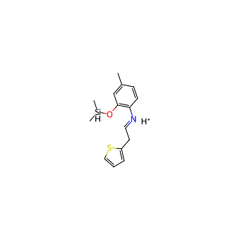 Cc1ccc(N=CCc2cccs2)c(O[SiH](C)C)c1.[H+]